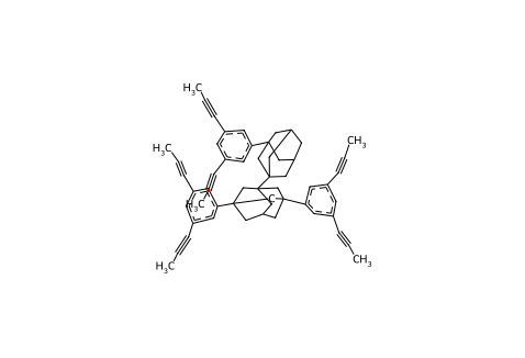 CC#Cc1cc(C#CC)cc(C23CC4CC(C2)CC(C25CC6CC(c7cc(C#CC)cc(C#CC)c7)(CC(c7cc(C#CC)cc(C#CC)c7)(C6)C2)C5)(C4)C3)c1